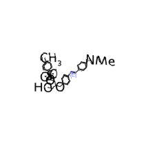 CNc1ccc(/C=C/c2ccc(OC(CO)COS(=O)(=O)c3ccc(C)cc3)cc2)cc1